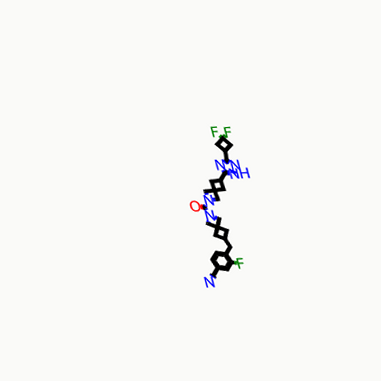 N#Cc1ccc(CC2CC3(C2)CN(C(=O)N2CC4(CC(c5nc(C6CC(F)(F)C6)n[nH]5)C4)C2)C3)c(F)c1